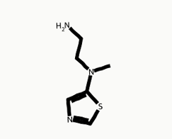 CN(CCN)c1cncs1